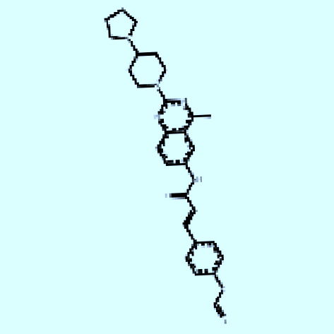 Cc1nc(N2CCC(N3CCCC3)CC2)nc2ccc(NC(=O)C=Cc3ccc(OC=S)cc3)cc12